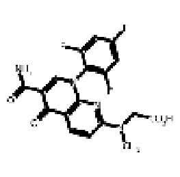 CN(CC(=O)O)c1ccc2c(=O)c(C(N)=O)cn(-c3c(F)cc(F)cc3F)c2n1